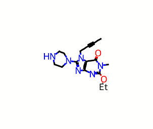 CC#CCn1c(N2CCNCC2)nc2nc(OCC)n(C)c(=O)c21